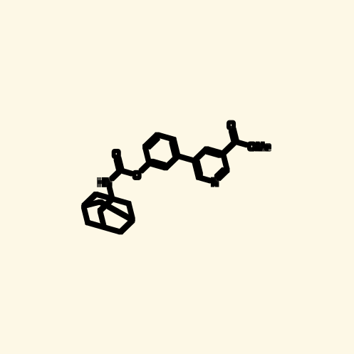 COC(=O)c1cncc(-c2cccc(OC(=O)NC34CC5CC(CC(C5)C3)C4)c2)c1